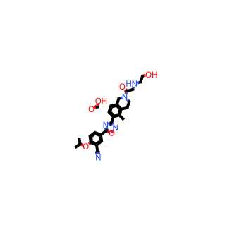 Cc1c(-c2noc(-c3ccc(OC(C)C)c(C#N)c3)n2)ccc2c1CCN(C(=O)CNCCO)C2.O=CO